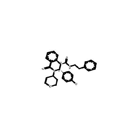 O=C(NCCc1ccccc1)[C@@H]1c2ccccc2C(=O)N(C2CCOCC2)[C@H]1c1ccc(Cl)cc1